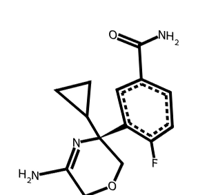 NC(=O)c1ccc(F)c([C@@]2(C3CC3)COCC(N)=N2)c1